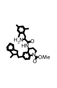 COC(=O)N1CCC(NC(=O)C(N)Cc2c(C)cc(C)cc2C)c2cc(CC3Cc4ccccc4C3C)ccc21